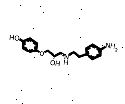 Nc1ccc(CCNC[C@H](O)COc2ccc(O)cc2)cc1